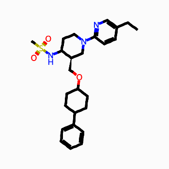 CCc1ccc(N2CCC(NS(C)(=O)=O)[C@H](COC3CCC(c4ccccc4)CC3)C2)nc1